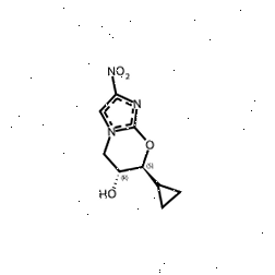 O=[N+]([O-])c1cn2c(n1)O[C@@H](C1CC1)[C@H](O)C2